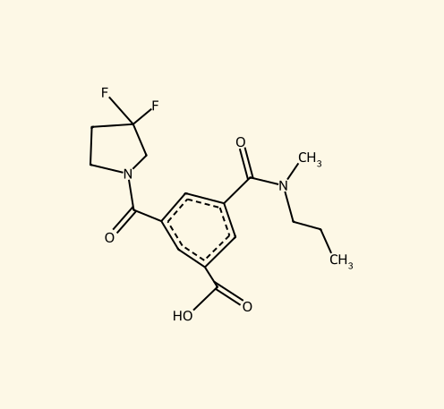 CCCN(C)C(=O)c1cc(C(=O)O)cc(C(=O)N2CCC(F)(F)C2)c1